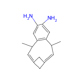 CC1C=C2CC(=CC(C)c3cc(N)c(N)cc31)C2